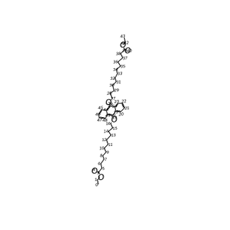 CCOC(=O)CCCCCCCCCCCCOc1c2ccccc2c(OCCCCCCCCCCCCC(=O)OCC)c2ccccc12